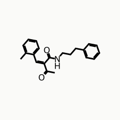 CC(=O)/C(=C/c1ccccc1C)C(=O)NCCCc1ccccc1